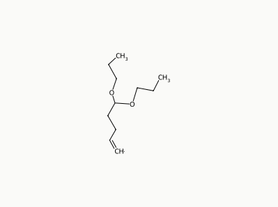 [CH]=CCCC(OCCC)OCCC